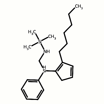 CCCCCCC1=C([SiH](CN[Si](C)(C)C)c2ccccc2)CC=C1